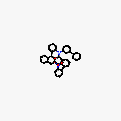 c1ccc(-c2cccc(N(c3ccccc3)c3ccccc3-c3cc(-n4c5ccccc5c5ccccc54)cc4ccccc34)c2)cc1